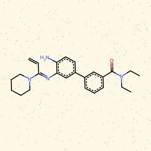 C=C/C(=N\c1cc(-c2cccc(C(=O)N(CC)CC)c2)ccc1N)N1CCCCC1